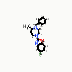 C[C@@H]1CCN(c2nc3cc(Cl)ccc3o2)CCN1Cc1ccccc1